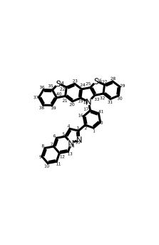 c1cc(-c2cc3cc4ccccc4cn3n2)cc(-n2c3cc4c(cc3c3sc5ccccc5c32)sc2ccccc24)c1